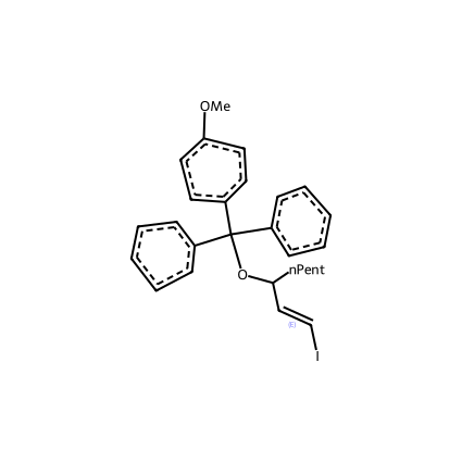 CCCCCC(/C=C/I)OC(c1ccccc1)(c1ccccc1)c1ccc(OC)cc1